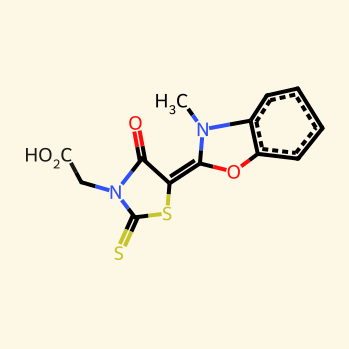 CN1C(=C2SC(=S)N(CC(=O)O)C2=O)Oc2ccccc21